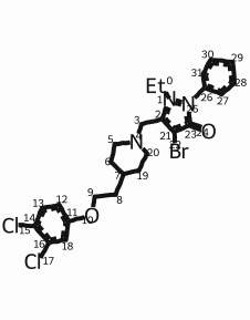 CCn1c(CN2CCC(CCOc3ccc(Cl)c(Cl)c3)CC2)c(Br)c(=O)n1-c1ccccc1